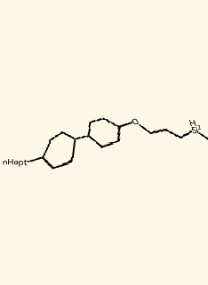 CCCCCCCC1CCC(C2CCC(OCCC[SiH2]I)CC2)CC1